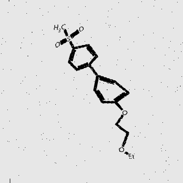 CCOCCOc1ccc(-c2ccc(S(C)(=O)=O)cc2)cc1